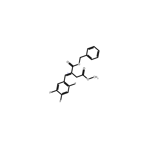 COC(=O)C/C(=C\c1cc(F)c(F)cc1F)C(=O)OCc1ccccc1